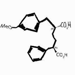 COc1ccc(C[C@@H](CC[C@@H](C(=O)O)c2ccccc2)C(=O)O)cc1